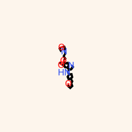 COc1cc2c(Nc3ccc(Cc4ccco4)cc3)ccnc2cc1OCCCN1CCOCC1